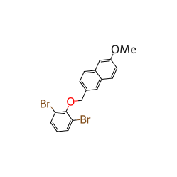 COc1ccc2cc(COc3c(Br)cccc3Br)ccc2c1